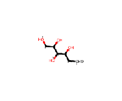 O=[14CH]CC(O)C(O)C(O)CO